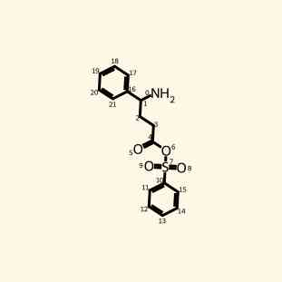 NC(CCC(=O)OS(=O)(=O)c1ccccc1)c1ccccc1